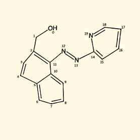 OCc1ccc2ccccc2c1N=Nc1ccccn1